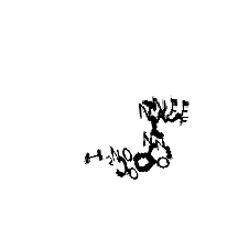 CC[C@H](Oc1ccc2c(c1)OCCn1cc(-c3ncnn3CC(F)(F)F)nc1-2)C(N)=O